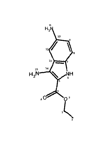 CCOC(=O)c1[nH]c2ccc(N)cc2c1N